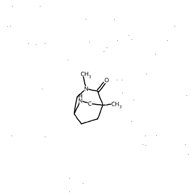 CN1CC2CCC(C)(CN2)C1=O